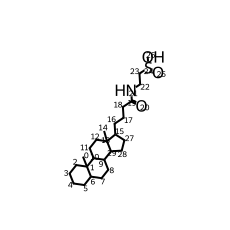 CC12CCCCC1CCC1C2CCC2(C)C(CCCC(=O)NCCS(=O)O)CCC12